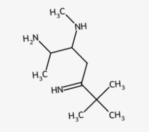 CNC(CC(=N)C(C)(C)C)C(C)N